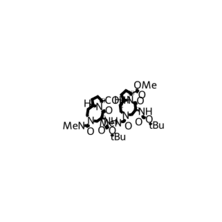 CNC(=O)N1CC[C@H]2CC[C@@H](C(=O)O)N2C(=O)[C@@H](NC(=O)OC(C)(C)C)C1.CNC(=O)N1CC[C@H]2CC[C@@H](C(=O)OC)N2C(=O)[C@@H](NC(=O)OC(C)(C)C)C1